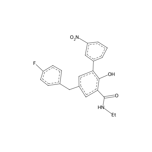 CCNC(=O)c1cc(Cc2ccc(F)cc2)cc(-c2cccc([N+](=O)[O-])c2)c1O